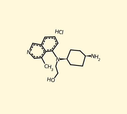 Cc1cncc2cccc(N(CCO)[C@H]3CC[C@@H](N)CC3)c12.Cl